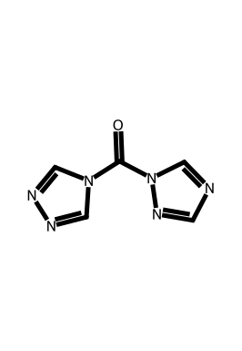 O=C(n1cnnc1)n1cncn1